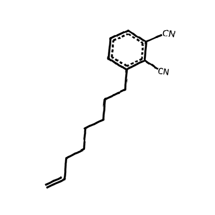 C=CCCCCCCc1cccc(C#N)c1C#N